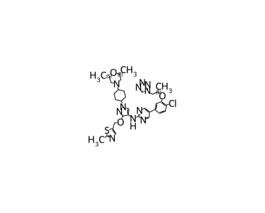 Cc1ncc(COc2nn(C3CCC(N4C[C@@H](C)O[C@@H](C)C4)CC3)cc2Nc2ncc(-c3ccc(Cl)c(O[C@@H](C)Cn4cnnn4)c3)cn2)s1